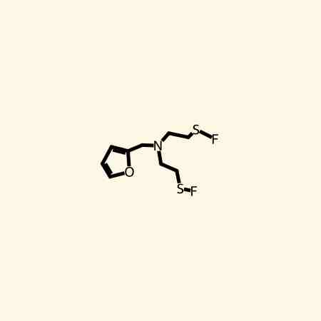 FSCCN(CCSF)Cc1ccco1